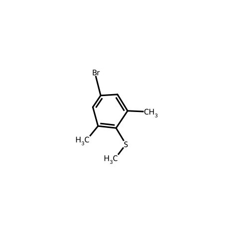 CSc1c(C)cc(Br)cc1C